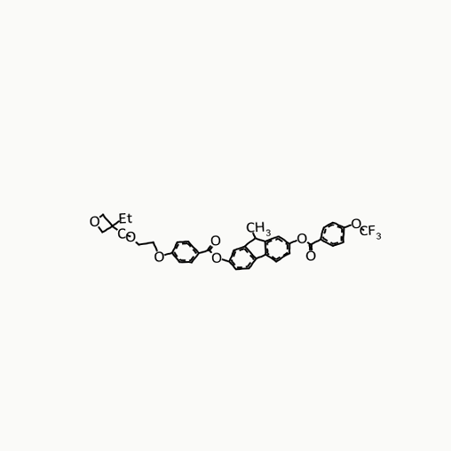 CCC1(COCCOc2ccc(C(=O)Oc3ccc4c(c3)C(C)c3cc(OC(=O)c5ccc(OC(F)(F)F)cc5)ccc3-4)cc2)COC1